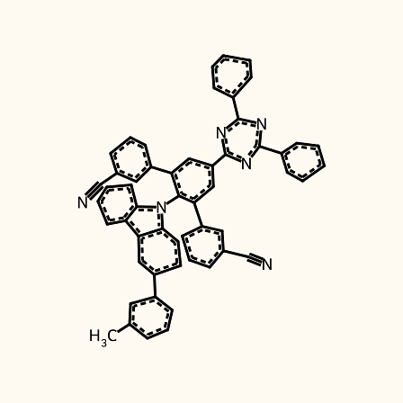 Cc1cccc(-c2ccc3c(c2)c2ccccc2n3-c2c(-c3cccc(C#N)c3)cc(-c3nc(-c4ccccc4)nc(-c4ccccc4)n3)cc2-c2cccc(C#N)c2)c1